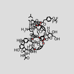 CN[C@H](CC(C)C)C(=O)N[C@H]1C(=O)NC(CC(N)=O)C(=O)NC2C(=O)N[C@H]3C(=O)N[C@H](C(=O)N[C@@H](C(=O)NNC(C)=O)c4cc(O)cc(O)c4-c4cc3ccc4O)[C@H](O)c3ccc(c(Cl)c3)Oc3cc2cc(c3O[C@@H]2O[C@H](CO)[C@@H](O)[C@H](O)[C@H]2O[C@H]2C[C@](C)(NCCn3ccc(NC(=O)Cc4ccc(OC(F)(F)F)cc4)nc3=O)[C@H](O)[C@H](C)O2)Oc2ccc(cc2Cl)[C@H]1O